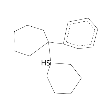 [c]1ccccc1C1([SiH]2CCCCC2)CCCCC1